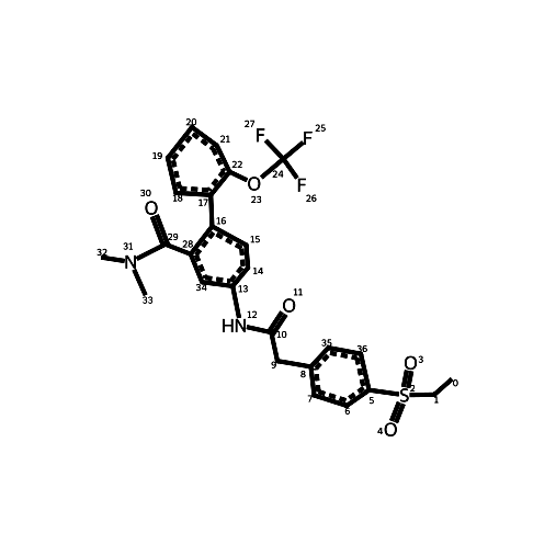 CCS(=O)(=O)c1ccc(CC(=O)Nc2ccc(-c3ccccc3OC(F)(F)F)c(C(=O)N(C)C)c2)cc1